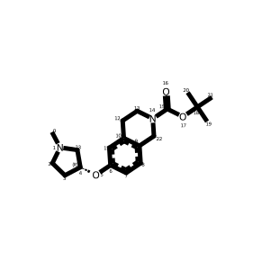 CN1CC[C@@H](Oc2ccc3c(c2)CCN(C(=O)OC(C)(C)C)C3)C1